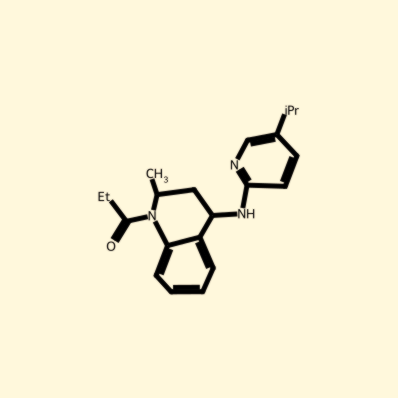 CCC(=O)N1c2ccccc2C(Nc2ccc(C(C)C)cn2)CC1C